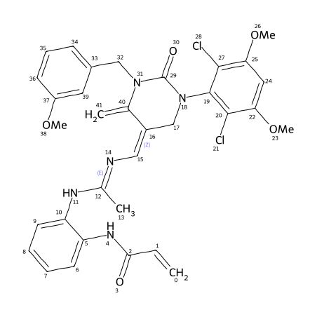 C=CC(=O)Nc1ccccc1N/C(C)=N/C=C1/CN(c2c(Cl)c(OC)cc(OC)c2Cl)C(=O)N(Cc2cccc(OC)c2)C1=C